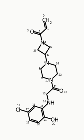 C=CC(=O)N1CC(N2CCN(C(=O)CNc3cc(Cl)ccc3O)CC2)C1